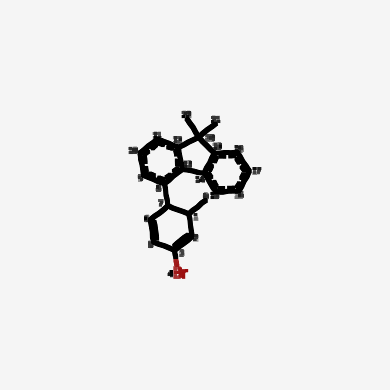 CC1C=C(Br)C=CC1c1cccc2c1-c1ccccc1C2(C)C